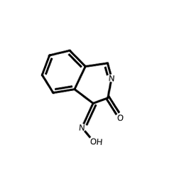 O=C1N=Cc2ccccc2C1=NO